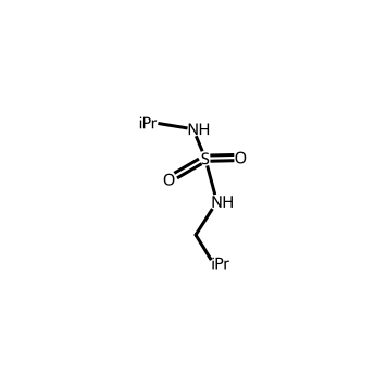 CC(C)CNS(=O)(=O)NC(C)C